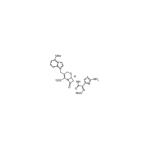 CO/N=C(\C(=O)N[C@@H]1C(=O)N2C(C(=O)[O-])=C(Cn3cc[n+]4c(SC)cccc34)CS[C@@H]12)c1csc(N)n1